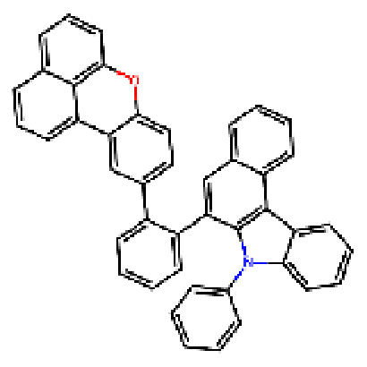 c1ccc(-n2c3ccccc3c3c4ccccc4cc(-c4ccccc4-c4ccc5c(c4)-c4cccc6cccc(c46)O5)c32)cc1